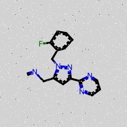 C=NCc1cc(-c2ncccn2)nn1Cc1ccccc1F